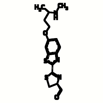 CNC(C)CCOc1ccc2nc(C3=N[C@@H](C=O)CS3)sc2c1